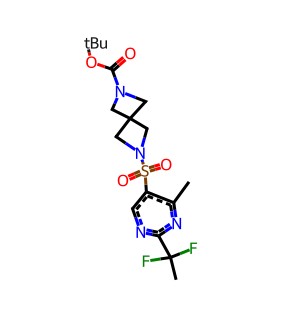 Cc1nc(C(C)(F)F)ncc1S(=O)(=O)N1CC2(CN(C(=O)OC(C)(C)C)C2)C1